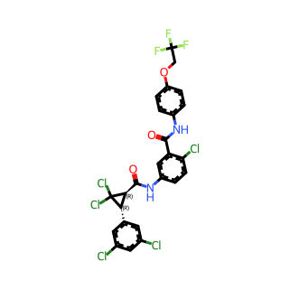 O=C(Nc1ccc(OCC(F)(F)F)cc1)c1cc(NC(=O)[C@H]2[C@H](c3cc(Cl)cc(Cl)c3)C2(Cl)Cl)ccc1Cl